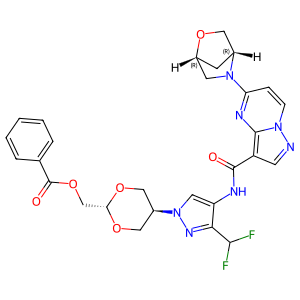 O=C(OC[C@H]1OC[C@H](n2cc(NC(=O)c3cnn4ccc(N5C[C@H]6C[C@@H]5CO6)nc34)c(C(F)F)n2)CO1)c1ccccc1